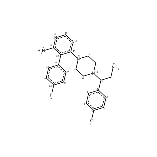 NCC(c1ccc(Cl)cc1)N1CCN(c2ncnc(N)c2-c2ccc(F)cc2)CC1